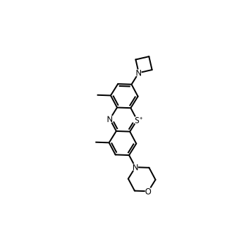 Cc1cc(N2CCC2)cc2[s+]c3cc(N4CCOCC4)cc(C)c3nc12